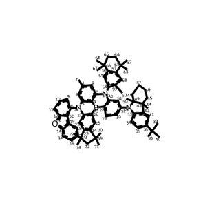 Cc1cc2c3c(c1)N(c1cccc4oc5ccccc5c14)c1cc4c(cc1B3c1ccc(N3c5ccc(C(C)(C)C)cc5C5(C)CCCCC35C)cc1N2c1cc2c(cc1C)C(C)(C)CCC2(C)C)C(C)(C)CC4(C)C